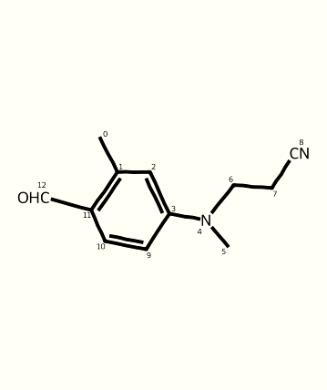 Cc1cc(N(C)CCC#N)ccc1C=O